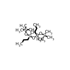 CCC[Si](C)(O[Si](C)(C)C)O[Si](C)(CCC)O[Si](C)(C)C